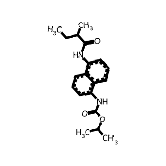 CCC(C)C(=O)Nc1cccc2c(NC(=O)OC(C)C)cccc12